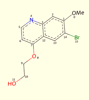 COc1cc2nccc(OCCO)c2cc1Br